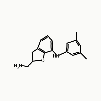 Cc1cc(C)cc(Nc2cccc3c2OC(CN)C3)c1